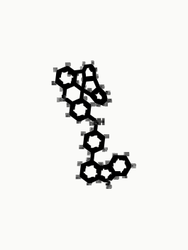 CC1CC=CC2=C1C1(c3ccccc3Sc3ccc(Nc4ccc(-c5cccc6sc7ccccc7c56)cc4)cc31)c1ccccc12